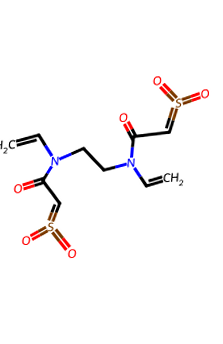 C=CN(CCN(C=C)C(=O)C=S(=O)=O)C(=O)C=S(=O)=O